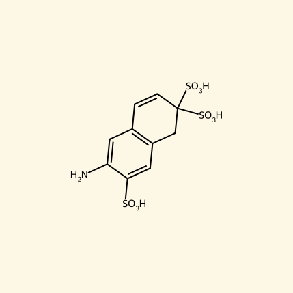 Nc1cc2c(cc1S(=O)(=O)O)CC(S(=O)(=O)O)(S(=O)(=O)O)C=C2